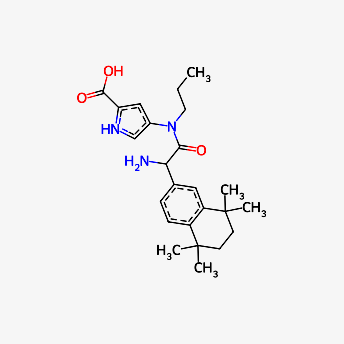 CCCN(C(=O)C(N)c1ccc2c(c1)C(C)(C)CCC2(C)C)c1c[nH]c(C(=O)O)c1